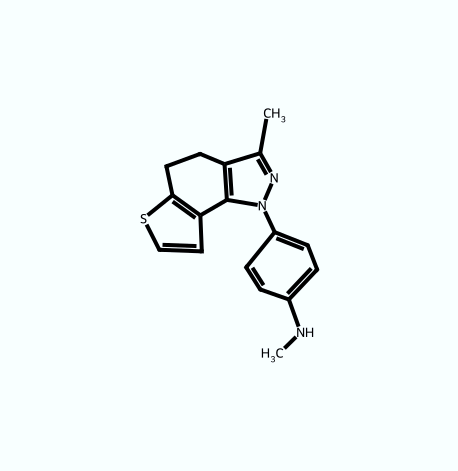 CNc1ccc(-n2nc(C)c3c2-c2ccsc2CC3)cc1